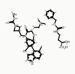 CCOC(=O)[C@H](O)CCNC(=O)OCc1ccccc1.Cc1ccc2[nH]ncc2c1-c1cc2c(cc1Cl)N(CC1CN(C(=O)OC(C)(C)C)C1)C(=O)[C@H](CCN(C)C)O2